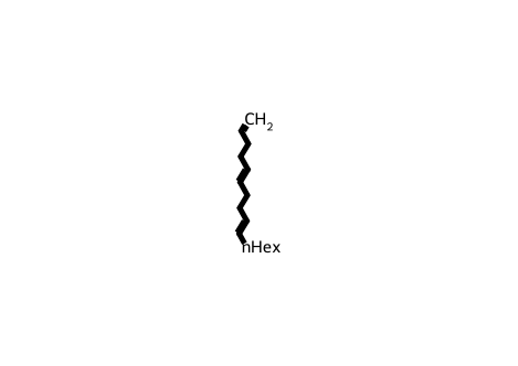 C=CCCC=CCCC=CCCCCCC